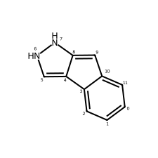 c1ccc2c3c[nH][nH]c-3cc2c1